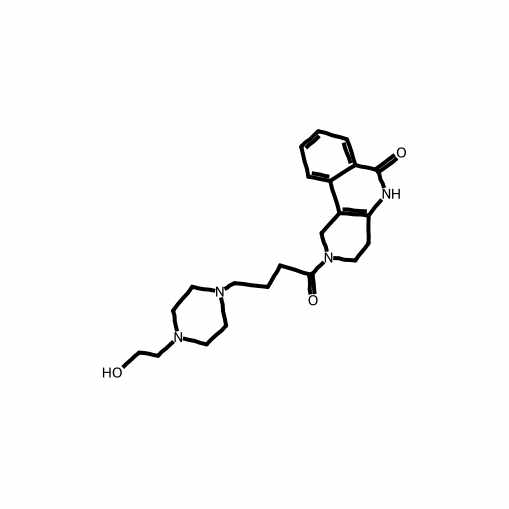 O=C(CCCN1CCN(CCO)CC1)N1CCc2[nH]c(=O)c3ccccc3c2C1